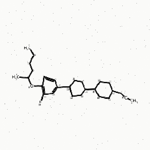 CCCCC(C)Oc1ccc(C2CCC(C3CCC(CCC)CC3)CC2)cc1F